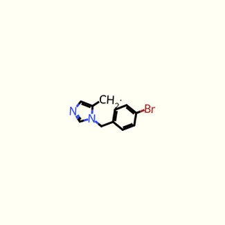 [CH2]c1cncn1Cc1ccc(Br)cc1